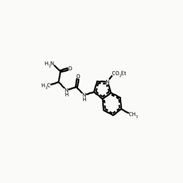 CCOC(=O)n1cc(NC(=O)NC(C)C(N)=O)c2ccc(C)cc21